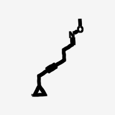 CON=CCCC#CCC1[CH]C1